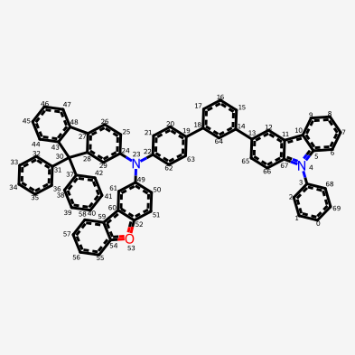 c1ccc(-n2c3ccccc3c3cc(-c4cccc(-c5ccc(N(c6ccc7c(c6)C(c6ccccc6)(c6ccccc6)c6ccccc6-7)c6ccc7oc8ccccc8c7c6)cc5)c4)ccc32)cc1